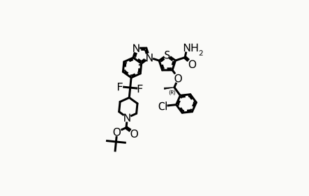 C[C@@H](Oc1cc(-n2cnc3ccc(C(F)(F)C4CCN(C(=O)OC(C)(C)C)CC4)cc32)sc1C(N)=O)c1ccccc1Cl